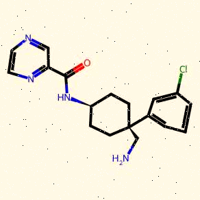 NC[C@]1(c2cccc(Cl)c2)CC[C@H](NC(=O)c2cnccn2)CC1